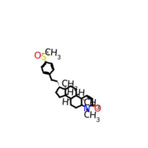 CN1C(=O)C=C[C@@]2(C)C1CC[C@H]1[C@@H]3CC[C@H](CCc4ccc([S+](C)[O-])cc4)[C@@]3(C)CC[C@@H]12